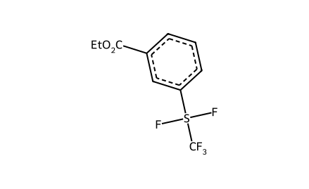 CCOC(=O)c1cccc(S(F)(F)C(F)(F)F)c1